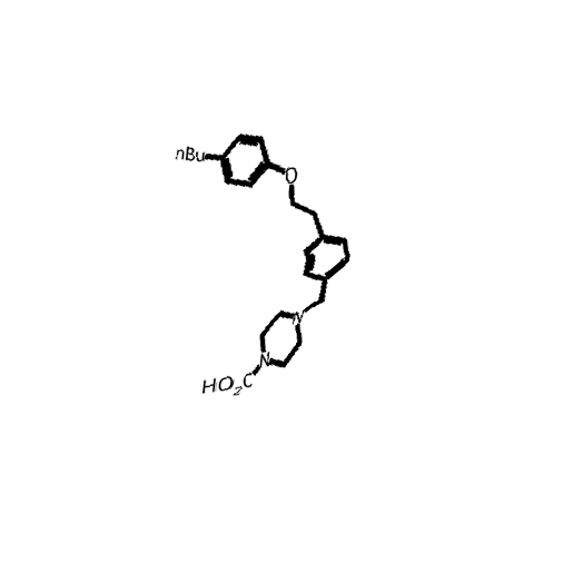 CCCCc1ccc(OCCc2ccc(CN3CCN(C(=O)O)CC3)cc2)cc1